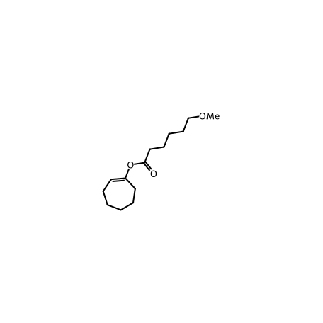 COCCCCCC(=O)OC1=CCCCCC1